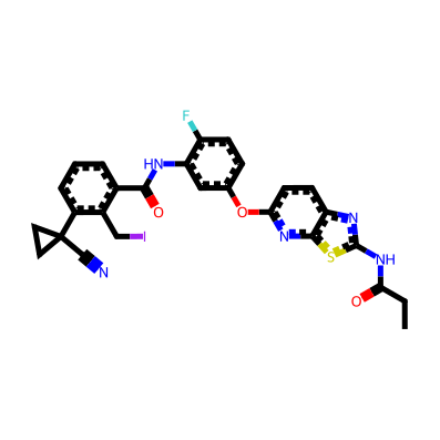 CCC(=O)Nc1nc2ccc(Oc3ccc(F)c(NC(=O)c4cccc(C5(C#N)CC5)c4CI)c3)nc2s1